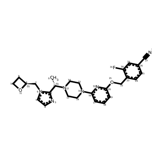 C[C@@H](c1nccn1C[C@@H]1CCO1)N1CCN(c2cccc(OCc3ccc(C#N)cc3F)n2)CC1